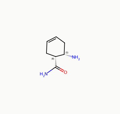 NC(=O)[C@@H]1CC=CC[C@@H]1N